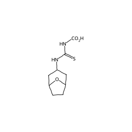 O=C(O)NC(=S)NC1CC2CCC(C1)O2